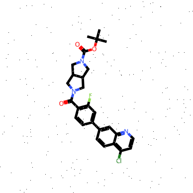 CC(C)(C)OC(=O)N1CC2CN(C(=O)c3ccc(-c4ccc5c(Cl)ccnc5c4)cc3F)CC2C1